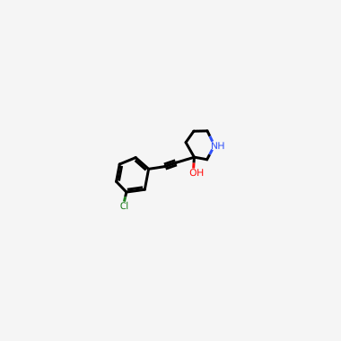 OC1(C#Cc2cccc(Cl)c2)CCCNC1